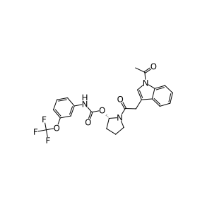 CC(=O)n1cc(CC(=O)N2CCC[C@@H]2OC(=O)Nc2cccc(OC(F)(F)F)c2)c2ccccc21